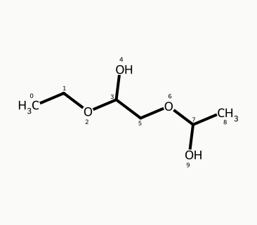 CCOC(O)COC(C)O